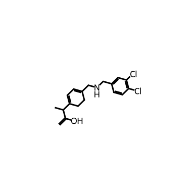 C=C(O)C(C)C1=CC=C(CNCc2ccc(Cl)c(Cl)c2)CC1